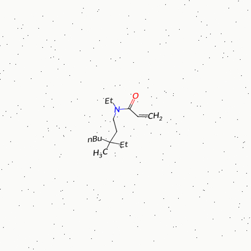 C=CC(=O)N(CC)CCC(C)(CC)CCCC